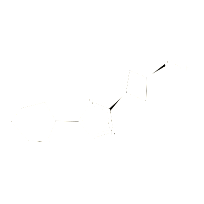 FC(F)(F)O[C@H]1C[C@@H](c2noc(C3CCCCO3)n2)C1